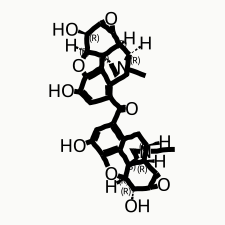 CN1CC[C@]23c4c5c(C(=O)c6cc(O)c7c8c6C[C@@H]6[C@@H]9C%10OC%10[C@H](O)[C@H](O7)[C@]89CCN6C)cc(O)c4O[C@H]2[C@@H](O)C2OC2[C@H]3[C@H]1C5